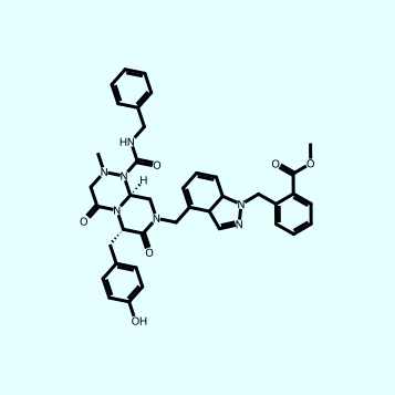 COC(=O)c1ccccc1CN1N=CC2C(CN3C[C@H]4N(C(=O)CN(C)N4C(=O)NCc4ccccc4)[C@@H](Cc4ccc(O)cc4)C3=O)=CC=CC21